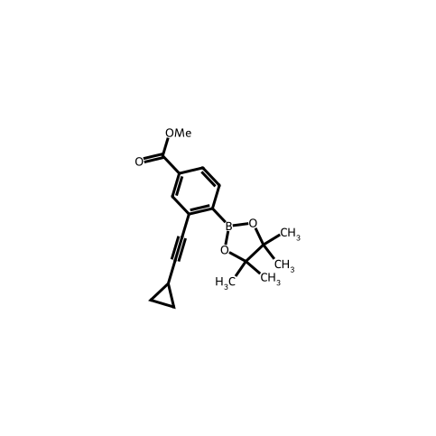 COC(=O)c1ccc(B2OC(C)(C)C(C)(C)O2)c(C#CC2CC2)c1